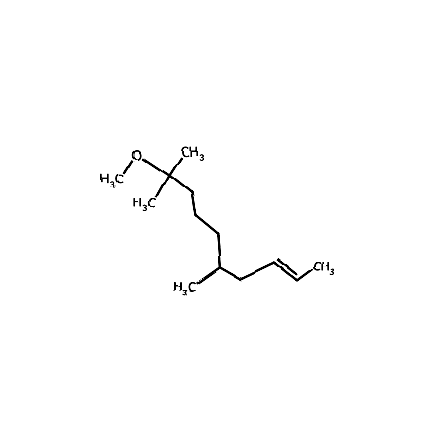 C/C=C/CC(C)CCCC(C)(C)OC